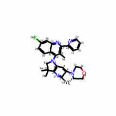 [C-]#[N+]c1nc2c(cc1N1CCOCC1)N(c1c(C)c(-c3ccccn3)nc3cc(F)ccc13)CC2(C)C